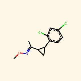 CO/N=C(\C)C1CC1c1ccc(Cl)cc1Cl